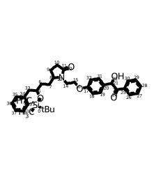 CC(C)(C)[Si](C)(C)OC(CCC1CCC(=O)N1CCOc1ccc(C(O)C(=O)c2ccccc2)cc1)Cc1ccccc1